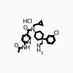 CC(=O)Nc1ccc(C(=O)N(CC2CC2)[C@H]2CC[C@@](CN)(c3cccc(Cl)c3)CC2)cn1.Cl